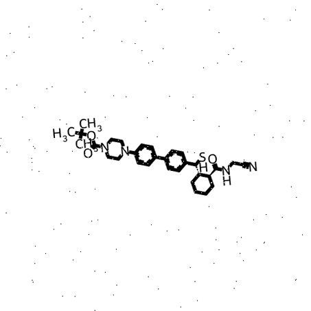 CC(C)(C)OC(=O)N1CCN(c2ccc(-c3ccc(C(S)[C@H]4CCCC[C@@H]4C(=O)NCC#N)cc3)cc2)CC1